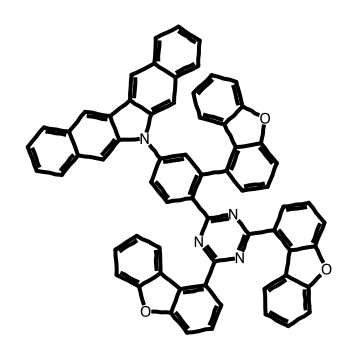 c1ccc2cc3c(cc2c1)c1cc2ccccc2cc1n3-c1ccc(-c2nc(-c3cccc4oc5ccccc5c34)nc(-c3cccc4oc5ccccc5c34)n2)c(-c2cccc3oc4ccccc4c23)c1